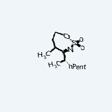 CCCCC[C@H](C)C1=NS(=O)(=O)OCCC1C